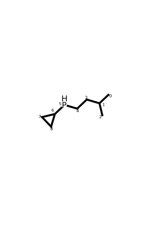 CC(C)CCPC1CC1